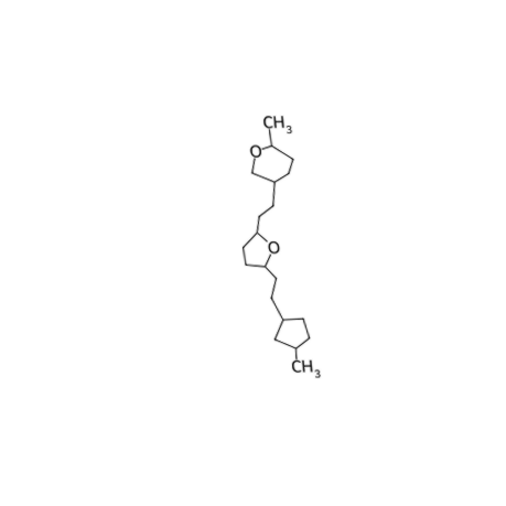 CC1CCC(CCC2CCC(CCC3CCC(C)OC3)O2)C1